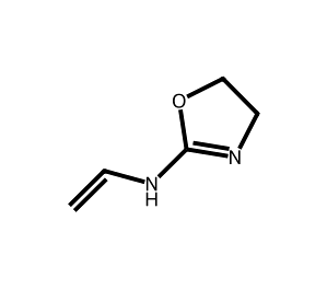 C=CNC1=NCCO1